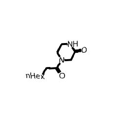 CCCCCCCC(=O)N1CCNC(=O)C1